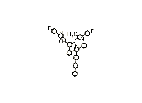 Cc1cc(-c2ccc(F)cc2)ncc1CCc1cc(CCc2cnc(-c3ccc(F)cc3)cc2C)cc(-c2ccccc2-c2cnc(-c3ccccc3)cc2-c2ccc(-c3ccc(-c4ccccc4)cc3)cc2)c1